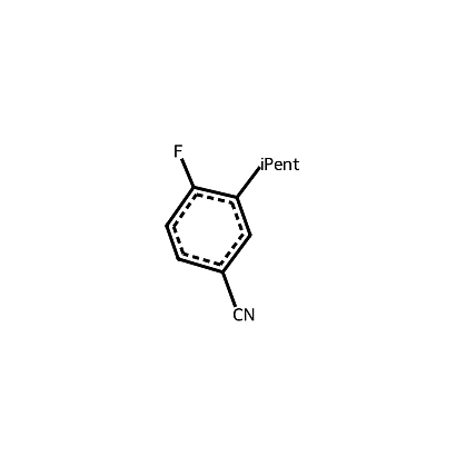 CCCC(C)c1cc(C#N)ccc1F